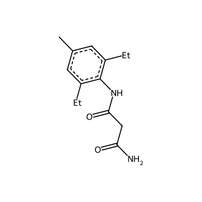 CCc1cc(C)cc(CC)c1NC(=O)CC(N)=O